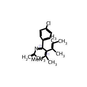 C=C(C)/N=C(\C(C(C)=C(C)C)=C(\C)NC)c1ccc(Cl)cc1